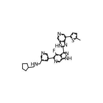 Cc1ccc(-c2cncc3[nH]c(-c4n[nH]c5cnc(-c6cncc(CNCC7CCCC7)c6)c(F)c45)nc23)s1